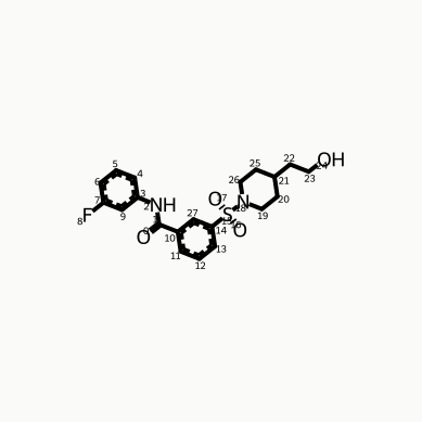 O=C(Nc1cccc(F)c1)c1cccc(S(=O)(=O)N2CCC(CCO)CC2)c1